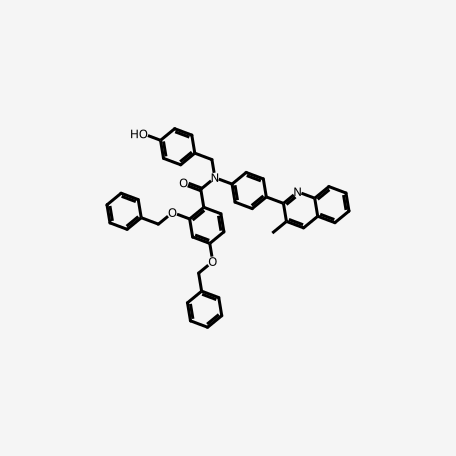 Cc1cc2ccccc2nc1-c1ccc(N(Cc2ccc(O)cc2)C(=O)c2ccc(OCc3ccccc3)cc2OCc2ccccc2)cc1